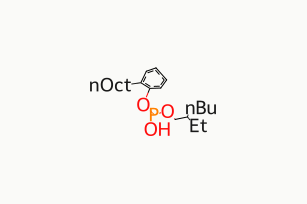 CCCCCCCCc1ccccc1OP(O)OCC(CC)CCCC